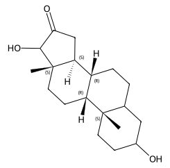 C[C@]12CCC(O)CC1CC[C@@H]1[C@H]2CC[C@]2(C)C(O)C(=O)C[C@@H]12